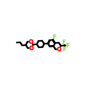 CCCC1COC(C2CCC(c3cc(F)c4c(c3)COC(C(F)(F)F)C4)CC2)OC1